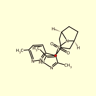 Cc1ccc(OC2C[C@H]3CC[C@@H](C2)N3S(=O)(=O)c2c(C)n[nH]c2C)nn1